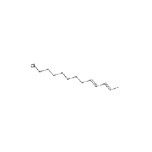 CC=CC=CCCCCCCCCl